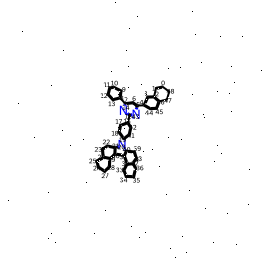 C1=Cc2cc(-c3cc(-c4ccccc4)nc(-c4ccc(-n5c6ccc7ccccc7c6c6c7ccccc7ccc65)cc4)n3)ccc2CC1